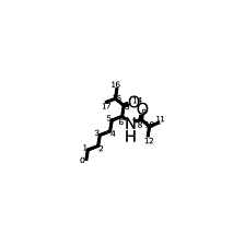 CCCCCCC(NC(=O)C(C)C)C(=O)C(C)C